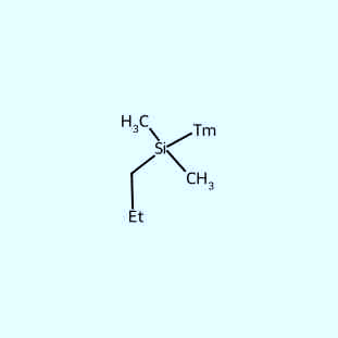 CCC[Si](C)(C)[Tm]